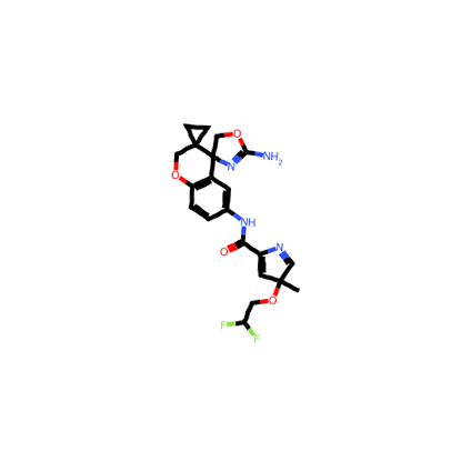 CC1(OCC(F)F)C=NC(C(=O)Nc2ccc3c(c2)C2(COC(N)=N2)C2(CC2)CO3)=C1